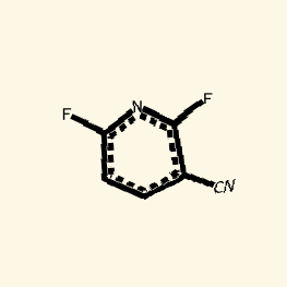 N#Cc1ccc(F)nc1F